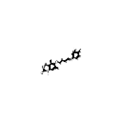 Cc1cc2c(c(C)c1OCCCCSc1ccc(Cl)c(Cl)c1)COC(=O)N2